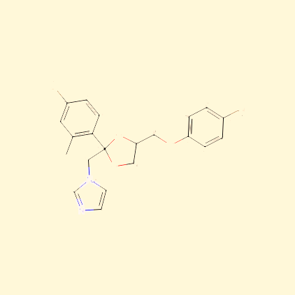 Cc1cc(Br)ccc1C1(Cn2ccnc2)OCC(COc2ccc(Br)cc2)O1